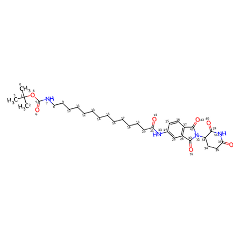 CC(C)(C)OC(=O)NCCCCCCCCCCCCCC(=O)Nc1ccc2c(c1)C(=O)N(C1CCC(=O)NC1=O)C2=O